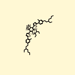 CCCCC(CC)CCc1ccc(-c2ccc(-c3c4nsnc4c(-c4ccc(-c5ccc(CCC(CC)CCCC)cc5C)s4)c4nc(CC)c(CC)nc34)s2)c(C)c1